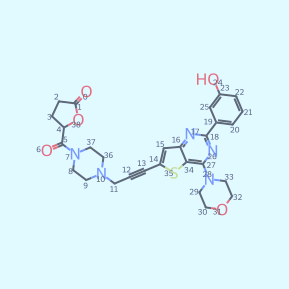 O=C1CCC(C(=O)N2CCN(CC#Cc3cc4nc(-c5cccc(O)c5)nc(N5CCOCC5)c4s3)CC2)O1